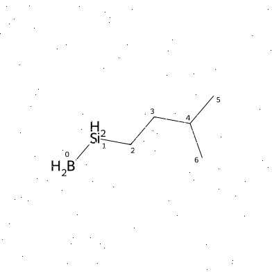 B[SiH2]CCC(C)C